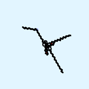 CCCCCCCC/C=C\CCCCCCCC(=O)OC(CCCCC)(COCCCCCCCCCCCCCCCC)C(CCCCC)(CCCCC)OCCCCCCCCCCCCCCCC